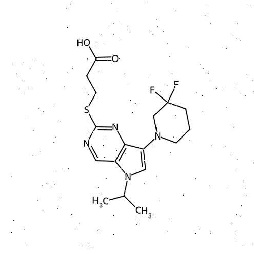 CC(C)n1cc(N2CCCC(F)(F)C2)c2nc(SCCC(=O)O)ncc21